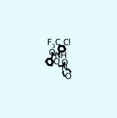 O=C(Nc1ccc(Cl)c(C(F)(F)F)c1)c1ccccc1OCC(=O)N1CCOCC1